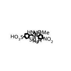 COc1cc([N+](=O)[O-])ccc1N1N=C(c2ccc(S(=O)(=O)O)cc2S(=O)(=O)O)NN1.[Na+]